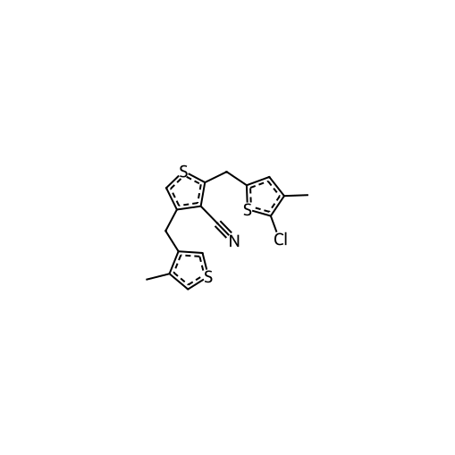 Cc1cscc1Cc1csc(Cc2cc(C)c(Cl)s2)c1C#N